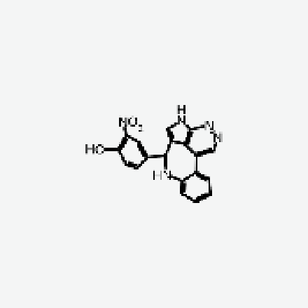 O=[N+]([O-])c1cc(C2Nc3ccccc3-c3cnnc4[nH]cc2c34)ccc1O